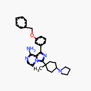 CC1(c2nc(-c3cccc(OCc4ccccc4)c3)c3c(N)nccn23)CCC(N2CCCC2)CC1